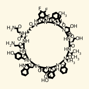 CCCC[C@H]1C(=O)N2C[C@@H](O)C[C@@H]2C(=O)N[C@@H](CC(=O)O)C(=O)N[C@@H](C(C)C)C(=O)N(C)[C@@H](Cc2ccccc2)C(=O)N[C@@H](Cc2ccc(O)cc2)C(=O)N2C[C@H](O)C[C@@H]2C(=O)N[C@@H](Cc2c[nH]c3ccccc23)C(=O)N[C@@H](Cc2ccc(O)cc2)C(=O)N[C@@H](CCCN)C(=O)N[C@H](C(=O)NCC(N)=O)CSCC(=O)N[C@@H](Cc2cc(F)c(F)c(F)c2)C(=O)N(C)[C@@H](Cc2ccccc2)C(=O)N1C